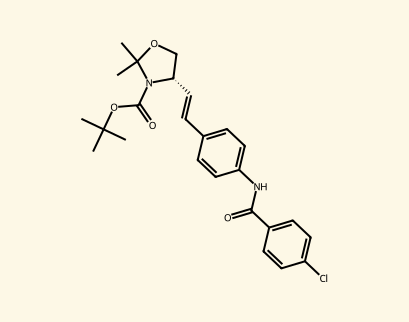 CC(C)(C)OC(=O)N1[C@@H](/C=C/c2ccc(NC(=O)c3ccc(Cl)cc3)cc2)COC1(C)C